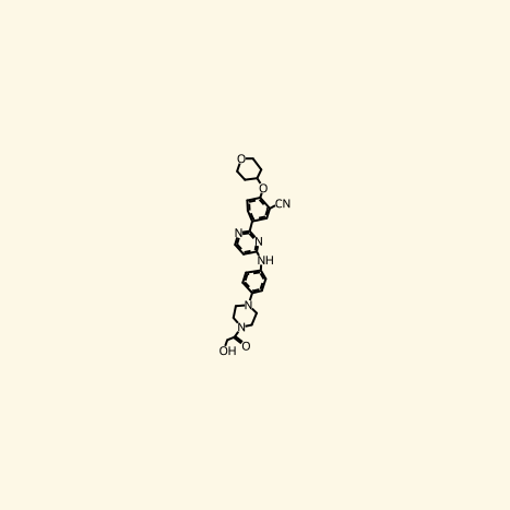 N#Cc1cc(-c2nccc(Nc3ccc(N4CCN(C(=O)CO)CC4)cc3)n2)ccc1OC1CCOCC1